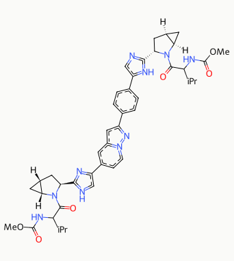 COC(=O)NC(C(=O)N1[C@@H]2C[C@@H]2C[C@H]1c1nc(-c2ccn3nc(-c4ccc(-c5cnc([C@@H]6C[C@H]7C[C@H]7N6C(=O)C(NC(=O)OC)C(C)C)[nH]5)cc4)cc3c2)c[nH]1)C(C)C